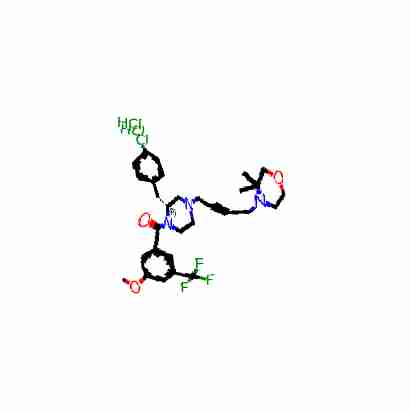 COc1cc(C(=O)N2CCN(CC#CCN3CCOCC3(C)C)C[C@H]2Cc2ccc(Cl)cc2)cc(C(F)(F)F)c1.Cl.Cl